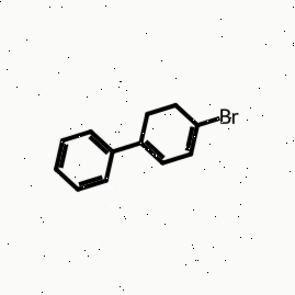 BrC1=CC=C(c2ccccc2)CC1